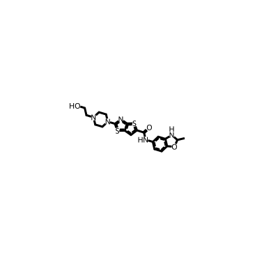 CC1Nc2cc(NC(=O)c3cc4sc(N5CCN(CCO)CC5)nc4s3)ccc2O1